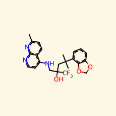 Cc1ccc2c(NCC(O)(CC(C)(C)c3cccc4c3OCO4)C(F)(F)F)ccnc2n1